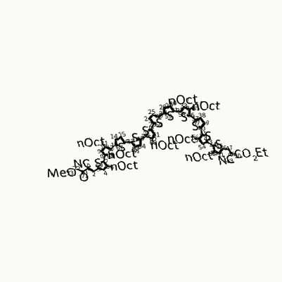 [C-]#[N+]/C(=C\c1cc(CCCCCCCC)c(-c2cc(CCCCCCCC)c(-c3ccc(-c4sc(-c5sc(-c6ccc(-c7cc(CCCCCCCC)c(-c8cc(CCCCCCCC)c(-c9ccc(-c%10sc(-c%11sc(/C=C(\C#N)C(=O)OCC)cc%11CCCCCCCC)cc%10CCCCCCCC)s9)s8)s7)s6)cc5CCCCCCCC)cc4CCCCCCCC)s3)s2)s1)C(=O)COC